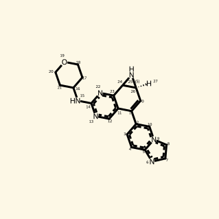 C1=C(c2ccc3nccn3c2)c2cnc(NC3CCOCC3)nc2C2N[C@@H]12